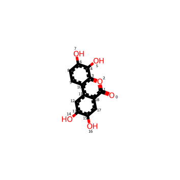 O=c1oc2c(O)c(O)ccc2c2cc(O)c(O)cc12